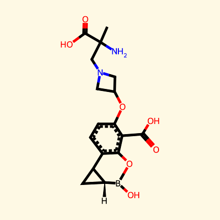 CC(N)(CN1CC(Oc2ccc3c(c2C(=O)O)OB(O)[C@@H]2CC32)C1)C(=O)O